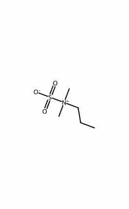 CCC[N+](C)(C)S(=O)(=O)[O-]